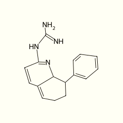 N=C(N)NC1=NC2C(=CCCC2c2ccccc2)C=C1